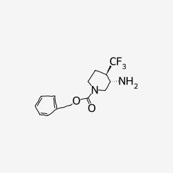 N[C@@H]1CN(C(=O)OCc2ccccc2)CC[C@H]1C(F)(F)F